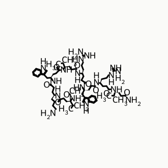 CC(=O)N[C@H](CCC(=O)N[C@@H](CCCCN)CCC(=O)N[C@H](CCC(=O)N[C@H](CCC(=O)N[C@@H](CCCNC(=N)N)CCC(=O)N[C@H](CCC(=O)N[C@@H](CCCNC(=N)N)CCC(=O)N[C@H](CCC(N)=O)C(C)C)Cc1c[nH]c2ccccc12)C(C)C)Cc1c[nH]c2ccccc12)C(C)C